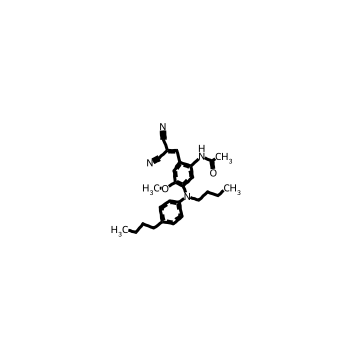 CCCCc1ccc(N(CCCC)c2cc(NC(C)=O)c(C=C(C#N)C#N)cc2OC)cc1